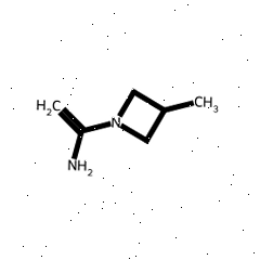 C=C(N)N1CC(C)C1